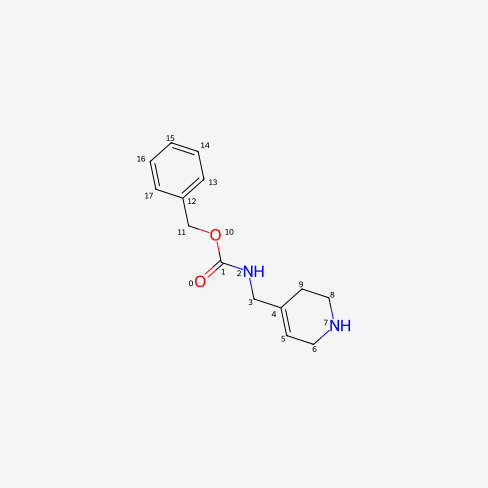 O=C(NCC1=CCNCC1)OCc1ccccc1